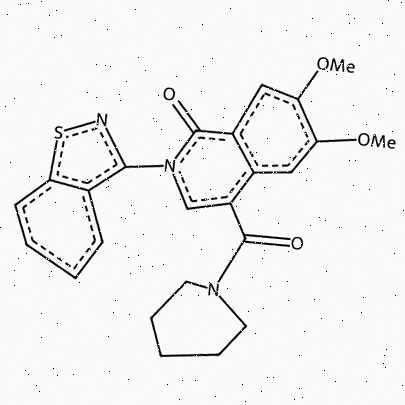 COc1cc2c(C(=O)N3CCCCC3)cn(-c3nsc4ccccc34)c(=O)c2cc1OC